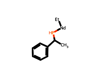 C[CH2][Nd][PH]C(C)c1ccccc1